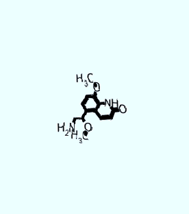 COc1ccc([C@H](CN)OC)c2ccc(=O)[nH]c12